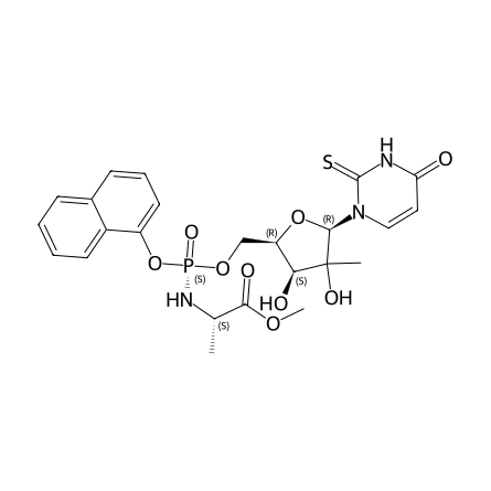 COC(=O)[C@H](C)N[P@](=O)(OC[C@H]1O[C@@H](n2ccc(=O)[nH]c2=S)C(C)(O)[C@H]1O)Oc1cccc2ccccc12